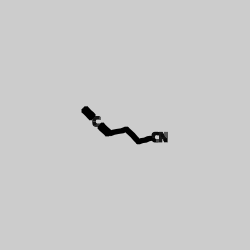 C=C=CCCC#N